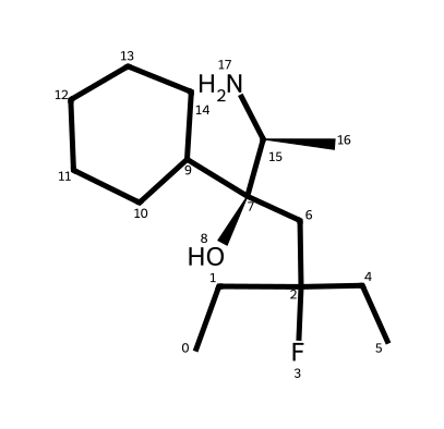 CCC(F)(CC)C[C@](O)(C1CCCCC1)[C@H](C)N